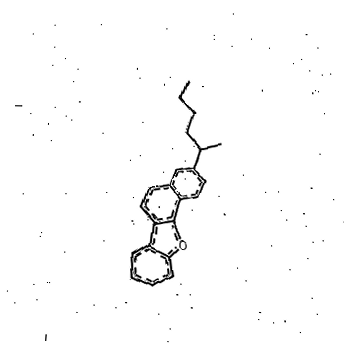 CCCCC(C)c1ccc2c(ccc3c4ccccc4oc23)c1